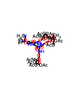 C/N=C\COP(Oc1ccc(C(=O)NC(CCC(=O)N(CC(=O)NCCOCCOC2OC(COC(C)=O)C(OC(C)=O)C(OC(C)=O)C2NC(C)=O)CC(=O)NCCOCCOC2OC(COC(C)=O)C(OC(C)=O)C(OC(C)O)C2NC(C)=O)C(=O)NCCOCCOC2OC(COC(C)=O)C(OC(C)=O)C(OC(C)=O)C2NC(C)=O)cc1)N(C(C)C)C(C)C